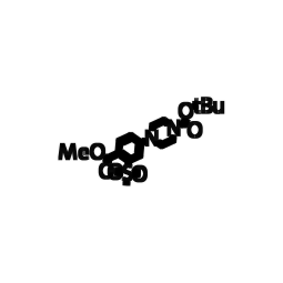 COC(=O)c1ccc(N2CCN(C(=O)OC(C)(C)C)CC2)cc1S(C)(=O)=O